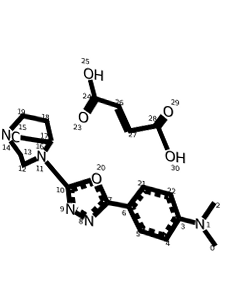 CN(C)c1ccc(-c2nnc(N3CCN4CCC3CC4)o2)cc1.O=C(O)/C=C/C(=O)O